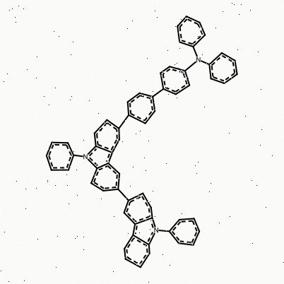 c1ccc(N(c2ccccc2)c2ccc(-c3ccc(-c4ccc5c(c4)c4cc(-c6ccc7c(c6)c6ccccc6n7-c6ccccc6)ccc4n5-c4ccccc4)cc3)cc2)cc1